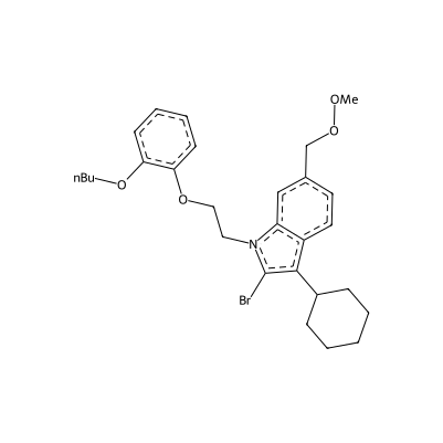 CCCCOc1ccccc1OCCn1c(Br)c(C2CCCCC2)c2ccc(COOC)cc21